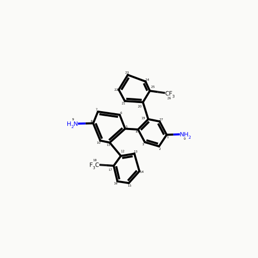 Nc1ccc(-c2ccc(N)cc2-c2ccccc2C(F)(F)F)c(-c2ccccc2C(F)(F)F)c1